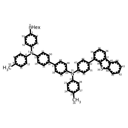 CCCCCCc1ccc(N(c2ccc(C)cc2)c2ccc(-c3ccc(N(c4ccc(C)cc4)c4ccc(-c5cccc6c5sc5ccccc56)cc4)cc3)cc2)cc1